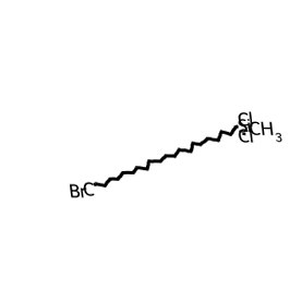 C[Si](Cl)(Cl)CCCCCCCCCCCCCCCCCCCCCCBr